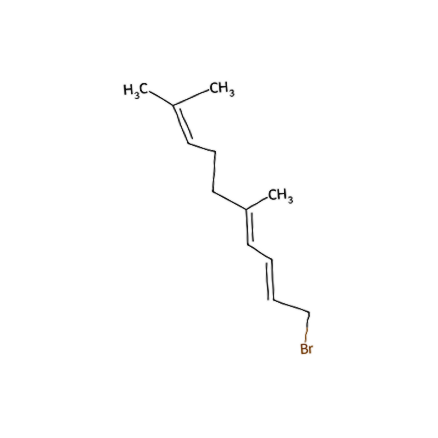 CC(C)=CCC/C(C)=C/C=C/CBr